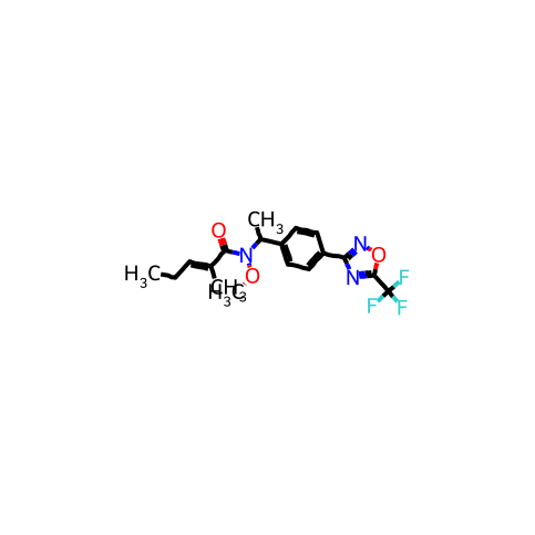 CC/C=C(\C)C(=O)N(OC)C(C)c1ccc(-c2noc(C(F)(F)F)n2)cc1